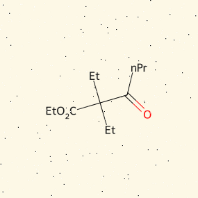 CCCC(=O)C(CC)(CC)C(=O)OCC